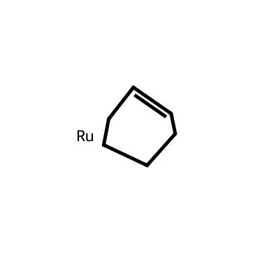 C1=CCCCC1.[Ru]